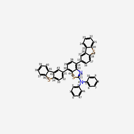 c1ccc(N(c2ccccc2)c2nc3c(-c4ccc5sc6ccccc6c5c4)ccc(-c4ccc5sc6ccccc6c5c4)c3s2)cc1